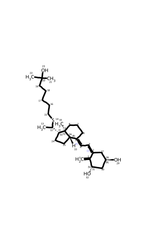 C=C1/C(=C\C=C2/CCC[C@]3(C)[C@@H](C(C)SCCCCCC(C)(C)O)CC[C@@H]23)C[C@@H](O)C[C@@H]1O